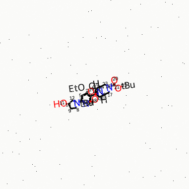 CCOC(=O)C1=C(c2ccc(N3CC[C@H](O)C3)nc2)C[C@H]2CN(C(=O)OC(C)(C)C)C[C@@H]1N2C(=O)OC(C)(C)C